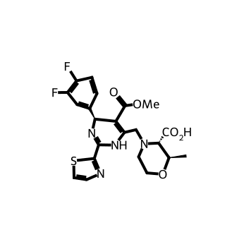 COC(=O)C1=C(CN2CCO[C@H](C)[C@H]2C(=O)O)NC(c2nccs2)=N[C@H]1c1ccc(F)c(F)c1